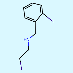 ICCNCc1ccccc1I